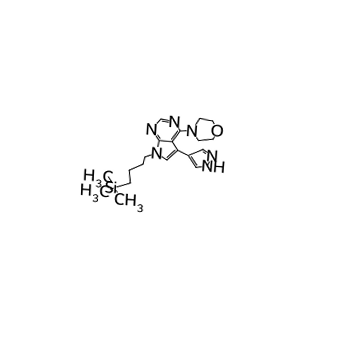 C[Si](C)(C)CCCCn1cc(-c2cn[nH]c2)c2c(N3CCOCC3)ncnc21